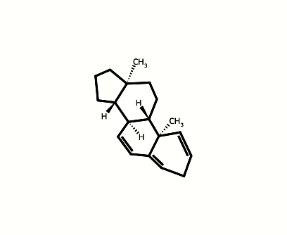 C[C@@]12CCC[C@H]1[C@@H]1C=CC3=CCC=C[C@]3(C)[C@H]1CC2